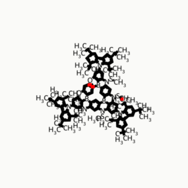 CSN1c2cc3c(cc2B2c4ccccc4Oc4cc(-n5c6c(C(C)(C)C)cc(C(C)(C)C)cc6c6cc(C(C)(C)C)cc(C(C)(C)C)c65)cc1c42)B1c2cc4c(cc2N(SC)c2cc(-n5c6c(C(C)(C)C)cc(C(C)(C)C)cc6c6cc(C(C)(C)C)cc(C(C)(C)C)c65)cc(c21)N3SC)Nc1cc(-n2c3c(C(C)(C)C)cc(C(C)(C)C)cc3c3cc(C(C)(C)C)cc(C(C)(C)C)c32)cc2c1B4c1ccccc1O2